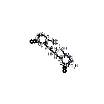 N=C(N)NCC/C=C1\NC(=O)/C(=C\CCCNC(=O)C(=N)CCC(=O)NCCCC[C@@H]2NC(=O)/C(=C/c3ccc4ccccc4c3)NC(=O)[C@H](CC(=O)O)NC(=O)CNC(=O)[C@H](CCCNC(=N)N)NC2=O)NC(=O)[C@@H](Cc2ccc3ccccc3c2)NC(=O)/C(=C\C(=O)O)NC(=O)CNC1=O